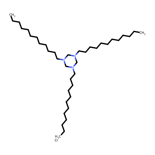 CCCCCCCCCCCCN1CN(CCCCCCCCCCCC)CN(CCCCCCCCCCCC)C1.[Cr]